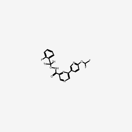 [2H]C([2H])(ONC(=O)c1cncc(-c2ccc(OC(F)F)nc2)n1)c1ccccc1F